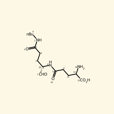 CCCCNC(=O)CC[C@@H](C=O)NC(=O)CCC(N)C(=O)O